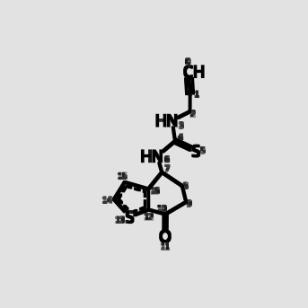 C#CCNC(=S)NC1CCC(=O)c2sccc21